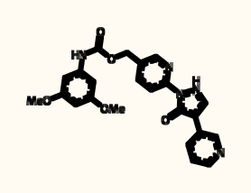 COc1cc(NC(=O)OCc2ccc(-n3[nH]cc(-c4cccnc4)c3=O)nc2)cc(OC)c1